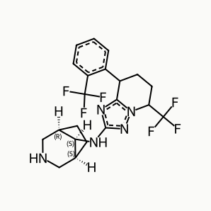 FC(F)(F)c1ccccc1C1CCC(C(F)(F)F)n2nc(N[C@@H]3[C@@H]4CC[C@H]3CNC4)nc21